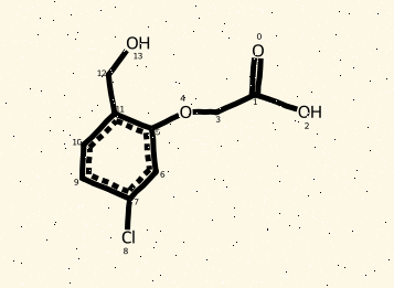 O=C(O)COc1cc(Cl)ccc1CO